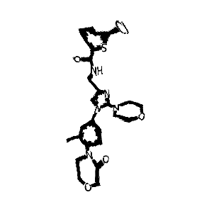 Cc1cc(-n2cc(CNC(=O)c3ccc(Cl)s3)nc2N2CCOCC2)ccc1N1CCOCC1=O